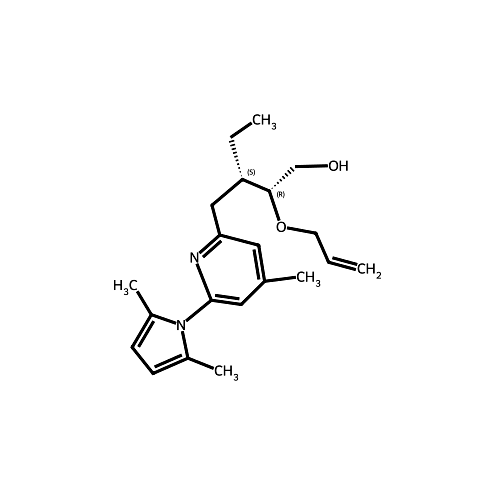 C=CCO[C@@H](CO)[C@@H](CC)Cc1cc(C)cc(-n2c(C)ccc2C)n1